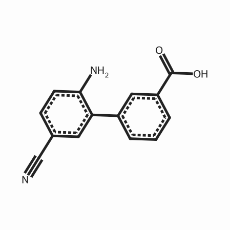 N#Cc1ccc(N)c(-c2cccc(C(=O)O)c2)c1